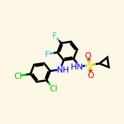 O=S(=O)(Nc1ccc(F)c(F)c1Nc1ccc(Cl)cc1Cl)C1CC1